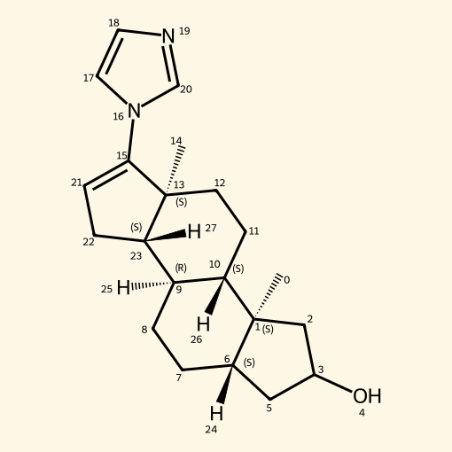 C[C@]12CC(O)C[C@@H]1CC[C@@H]1[C@@H]2CC[C@]2(C)C(n3ccnc3)=CC[C@@H]12